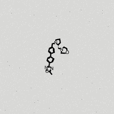 Cc1nc(-c2ccc(-c3ccc(CN4CCC[C@@H]4CN4CCOCC4)cc3)cc2)no1